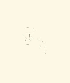 O=Cc1ccc(OCCN2C3=C(CC=CC3=O)Sc3ccccc32)cc1